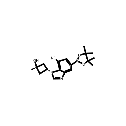 CC1(C)OB(c2cc(C#N)c3c(c2)ncn3[C@H]2C[C@@](C)(O)C2)OC1(C)C